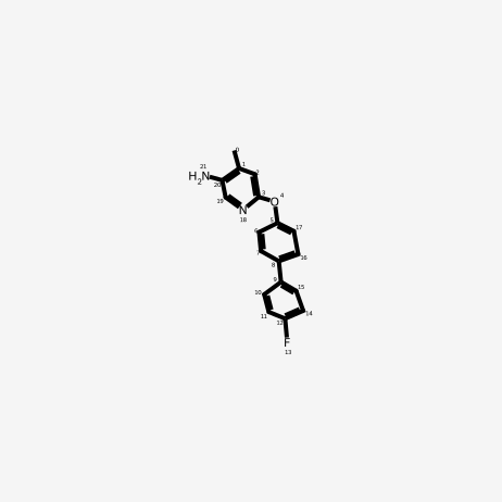 Cc1cc(Oc2ccc(-c3ccc(F)cc3)cc2)ncc1N